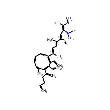 C=CCCC(=C)c1c(C)cccccc(/C(C)=C/C=C(C)/C(C)=C/C(=C(\C)N=C)N(C)CC)c(C=C)c1C=C